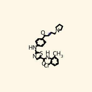 Cc1cccc(Cl)c1NC(=O)c1cnc(Nc2ccc(C(=O)/C=C/CN3CCCC3)cc2)s1